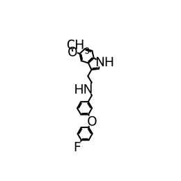 COc1ccc2[nH]cc(CCNCc3cccc(Oc4ccc(F)cc4)c3)c2c1